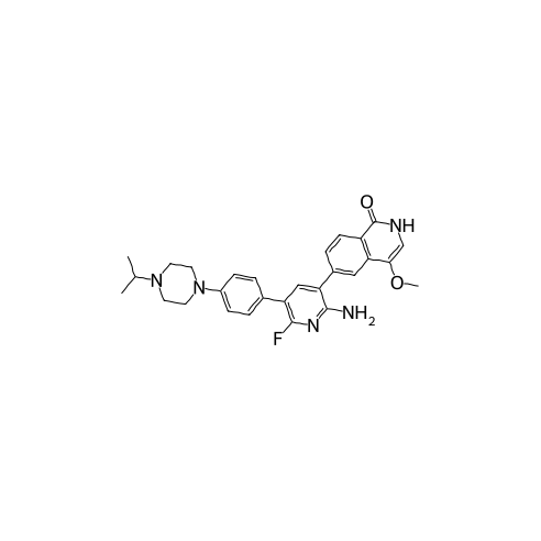 COc1c[nH]c(=O)c2ccc(-c3cc(-c4ccc(N5CCN(C(C)C)CC5)cc4)c(F)nc3N)cc12